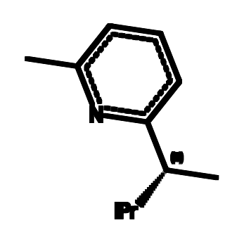 Cc1cccc([C@H](C)C(C)C)n1